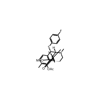 COC1=C[C@@H]2[C@@H]3[C@H](Sc4ccc(F)cc4)c4ccc(C)c(OC(C)=O)c4[C@]2(CCN3C)CC1=O